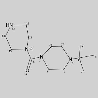 CC(C)(C)N1CCN(C(=O)N2CCNCC2)CC1